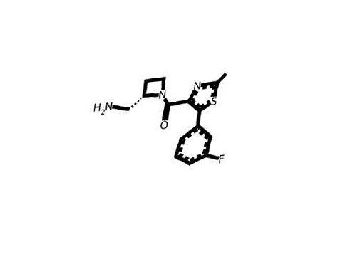 Cc1nc(C(=O)N2CC[C@H]2CN)c(-c2cccc(F)c2)s1